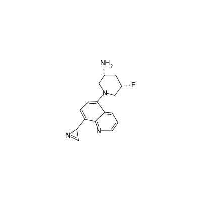 N[C@@H]1C[C@H](F)CN(c2ccc(C3C=N3)c3ncccc23)C1